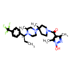 CC[C@@H](c1ccc(C(F)(F)F)cc1)N1CCN(C2(C)CCN(C(=O)c3c(C)nn(O)c3C)CC2)CC1C